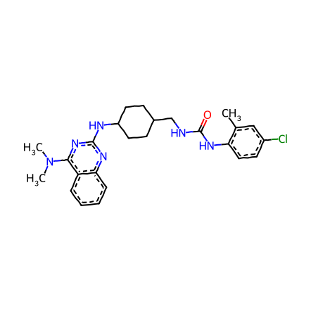 Cc1cc(Cl)ccc1NC(=O)NCC1CCC(Nc2nc(N(C)C)c3ccccc3n2)CC1